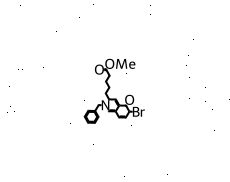 COC(=O)CCCCC1C=C2C(=O)C(Br)C=CC2=CN1Cc1ccccc1